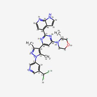 Cc1nn(-c2cncc(C(F)F)c2)c(C)c1-c1cc(N2CCOC[C@H]2C)nc(-c2ccnc3[nH]ccc23)n1